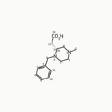 CN1CCN(Cc2ccccc2)[C@H](CC(=O)O)C1